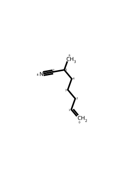 C=CCCCC(C)C#N